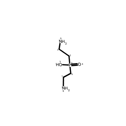 NCCP(=O)(O)CCN